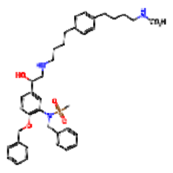 CS(=O)(=O)N(Cc1ccccc1)c1cc(C(O)CNCCCCc2ccc(CCCCNC(=O)O)cc2)ccc1OCc1ccccc1